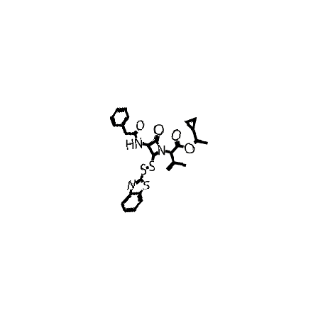 C=C(C)C(C(=O)OC(C)C1CC1)N1C(=O)C(NC(=O)Cc2ccccc2)C1SSc1nc2ccccc2s1